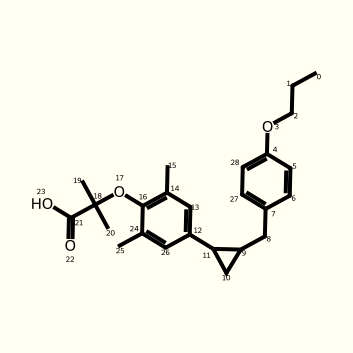 CCCOc1ccc(CC2CC2c2cc(C)c(OC(C)(C)C(=O)O)c(C)c2)cc1